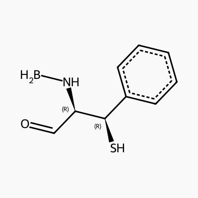 BN[C@H](C=O)[C@H](S)c1ccccc1